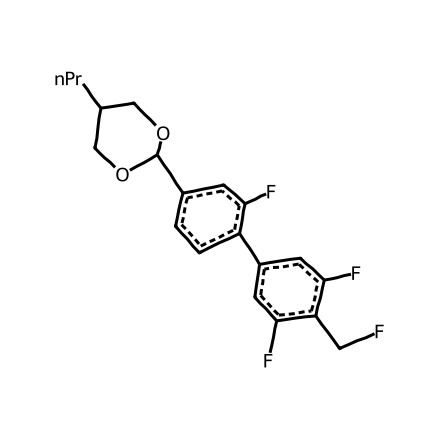 CCCC1COC(c2ccc(-c3cc(F)c(CF)c(F)c3)c(F)c2)OC1